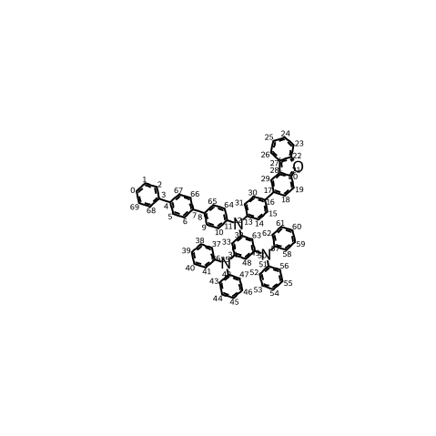 c1ccc(-c2ccc(-c3ccc(N(c4ccc(-c5ccc6oc7ccccc7c6c5)cc4)c4cc(N(c5ccccc5)c5ccccc5)cc(N(c5ccccc5)c5ccccc5)c4)cc3)cc2)cc1